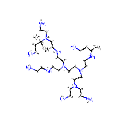 CC(CCN)NCCN(CCN(CCN)CCN)CCN(CCNCCN)CCNCCN(CCN)C(C)(C)CCN